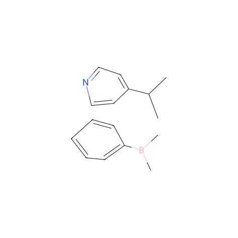 CB(C)c1ccccc1.CC(C)c1ccncc1